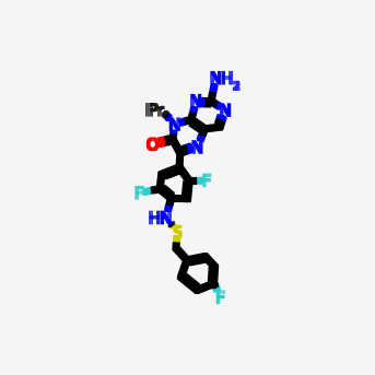 CC(C)n1c(=O)c(-c2cc(F)c(NSCc3ccc(F)cc3)cc2F)nc2cnc(N)nc21